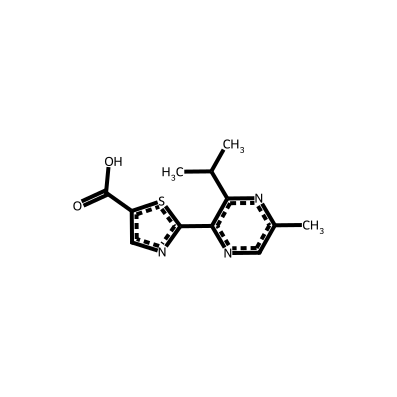 Cc1cnc(-c2ncc(C(=O)O)s2)c(C(C)C)n1